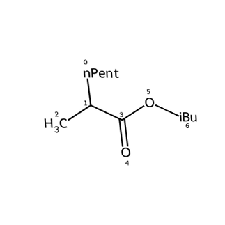 CCCCCC(C)C(=O)OC(C)CC